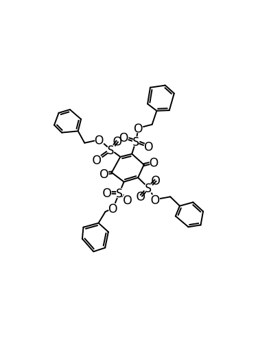 O=C1C(S(=O)(=O)OCc2ccccc2)=C(S(=O)(=O)OCc2ccccc2)C(=O)C(S(=O)(=O)OCc2ccccc2)=C1S(=O)(=O)OCc1ccccc1